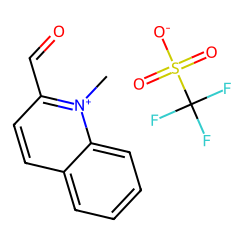 C[n+]1c(C=O)ccc2ccccc21.O=S(=O)([O-])C(F)(F)F